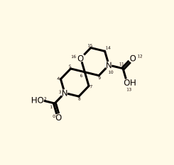 O=C(O)N1CCC2(CC1)CN(C(=O)O)CCO2